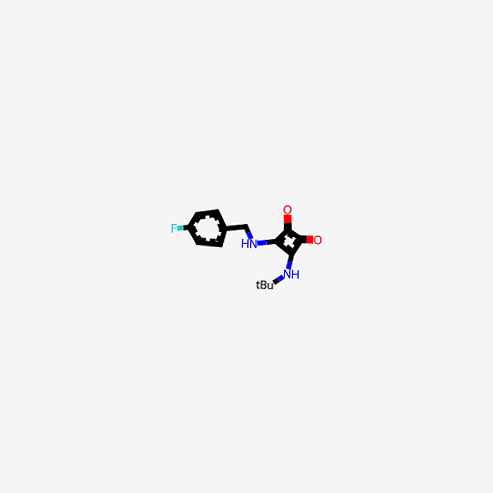 CC(C)(C)Nc1c(NCc2ccc(F)cc2)c(=O)c1=O